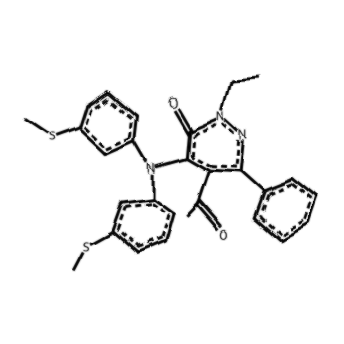 CCn1nc(-c2ccccc2)c(C(C)=O)c(N(c2cccc(SC)c2)c2cccc(SC)c2)c1=O